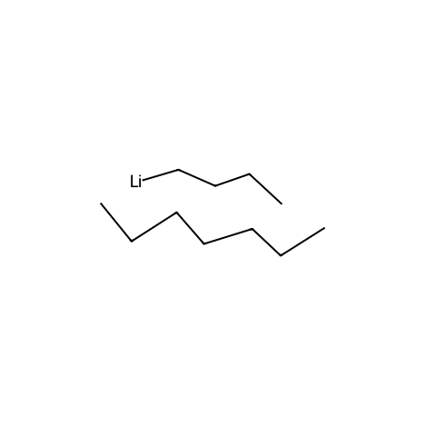 CCCCCCC.[Li][CH2]CCC